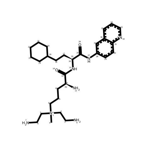 C[N+](CCN)(CCN)CCC[C@H](N)C(=O)N[C@@H](CCC1CCCCC1)C(=O)Nc1ccc2ncccc2c1